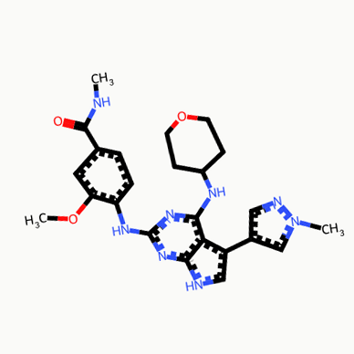 CNC(=O)c1ccc(Nc2nc(NC3CCOCC3)c3c(-c4cnn(C)c4)c[nH]c3n2)c(OC)c1